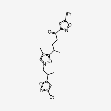 CCc1cc(C(C)C[n+]2cc(C)c(C(C)CCC(=O)c3cc(C(C)C)on3)o2)on1